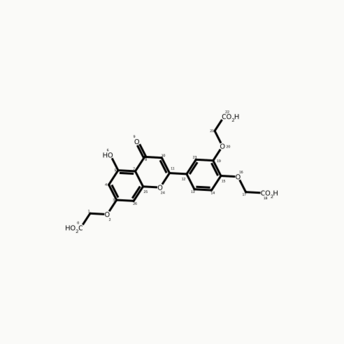 O=C(O)COc1cc(O)c2c(=O)cc(-c3ccc(OCC(=O)O)c(OCC(=O)O)c3)oc2c1